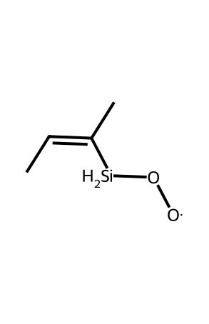 CC=C(C)[SiH2]O[O]